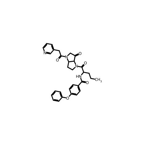 CCCC(NC(=O)c1ccc(Oc2ccccc2)cc1)C(=O)N1CCC2C1C(=O)CN2C(=O)Cc1cccnc1